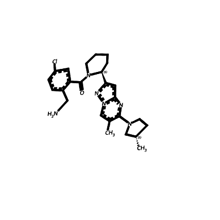 Cc1cn2nc([C@@H]3CCCCN3C(=O)c3cc(Cl)ccc3CN)cc2nc1N1CC[C@H](C)C1